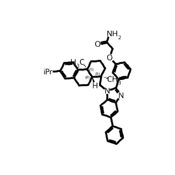 CC(C)c1ccc2c(c1)CC[C@H]1[C@](C)(Cn3c(-c4cccc(OCC(N)=O)c4)nc4cc(-c5ccccc5)ccc43)CCC[C@]21C